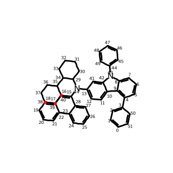 c1ccc(-c2cccc3c2c2ccc(N(c4cc5ccccc5c5ccccc45)C4CCCCC4C4CCCCC4)cc2n3-c2ccccc2)cc1